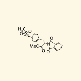 COC(=O)[C@H](Cc1ccc(NS(C)(=O)=O)cc1)N1C(=O)c2ccccc2C1=O